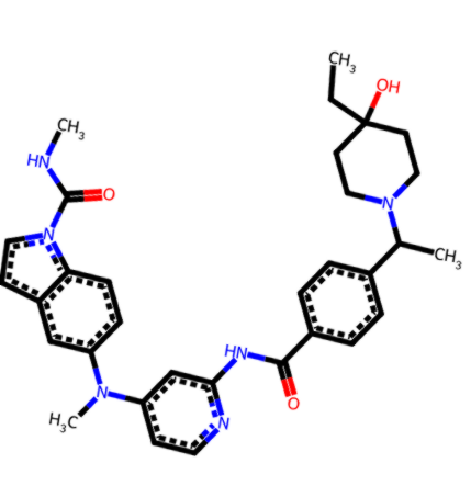 CCC1(O)CCN(C(C)c2ccc(C(=O)Nc3cc(N(C)c4ccc5c(ccn5C(=O)NC)c4)ccn3)cc2)CC1